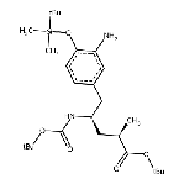 C[C@H](C[C@H](Cc1ccc(O[Si](C)(C)C(C)(C)C)c(N)c1)NC(=O)OC(C)(C)C)C(=O)OC(C)(C)C